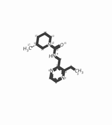 CCc1nccnc1CNC(=O)N1CCC[C@@H](C)C1